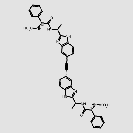 CC(NC(=O)[C@@H](NC(=O)O)c1ccccc1)c1nc2cc(C#Cc3ccc4[nH]c(C(C)NC(=O)[C@@H](NC(=O)O)c5ccccc5)nc4c3)ccc2[nH]1